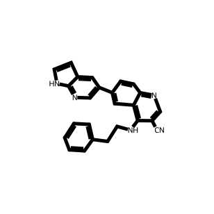 N#Cc1cnc2ccc(-c3cnc4[nH]ccc4c3)cc2c1NCCc1ccccc1